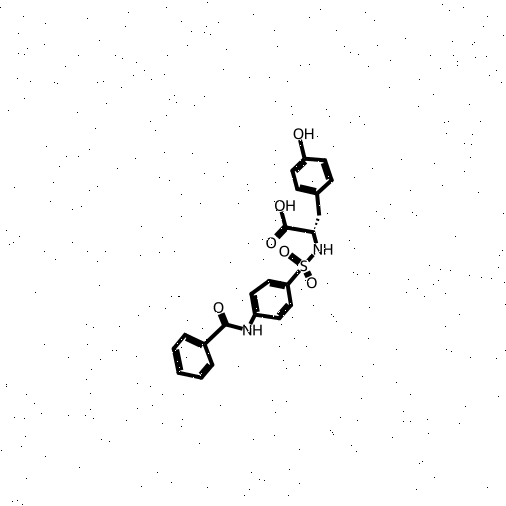 O=C(Nc1ccc(S(=O)(=O)N[C@@H](Cc2ccc(O)cc2)C(=O)O)cc1)c1ccccc1